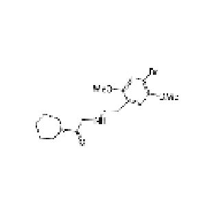 COc1cc(CCNCC(=O)N2CCCCC2)c(OC)cc1Br